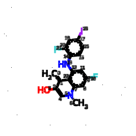 C=C1C(O)=CN(C)c2cc(F)cc(Nc3ccc(I)cc3F)c21